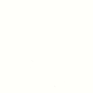 COC(=O)c1ccc(CCCN2C(=O)CC[C@@H]2CCC(=O)Cc2ccc(Cl)cc2)s1